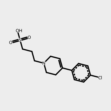 O=S(=O)(O)CCCN1CC=C(c2ccc(Cl)cc2)CC1